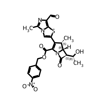 Cc1nc(C=O)c2sc(C3=C(C(=O)OCc4ccc([N+](=O)[O-])cc4)N4C(=O)[C@H]([C@@H](C)O)[C@H]4[C@H]3C)cn12